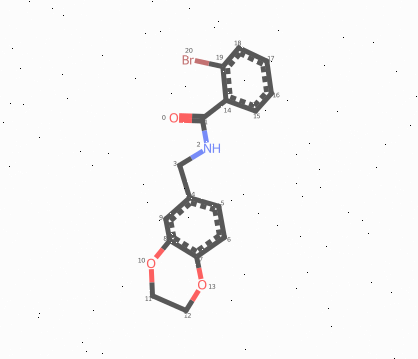 O=C(NCc1ccc2c(c1)OCCO2)c1ccccc1Br